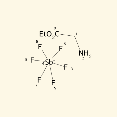 CCOC(=O)CN.[F][Sb-]([F])([F])([F])([F])[F]